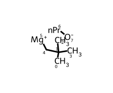 CC(C)(C)[CH2][Mg+].CCC[O-]